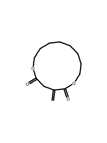 C=C1CC(=O)OCCCCCCCCOC1=O